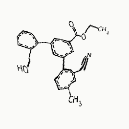 CCOC(=O)c1cc(-c2ccc(C)cc2C#N)cc(-c2ccccc2CO)c1